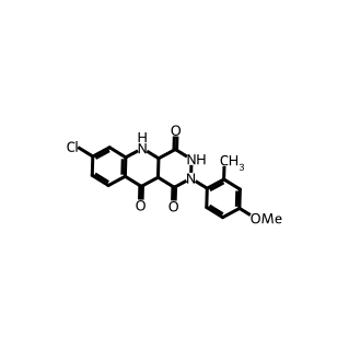 COc1ccc(N2NC(=O)C3Nc4cc(Cl)ccc4C(=O)C3C2=O)c(C)c1